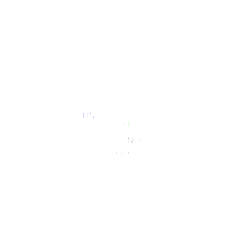 O=CC(c1ccc(NC(=O)Cc2ccccc2)cc1Cl)[N+](=O)[O-]